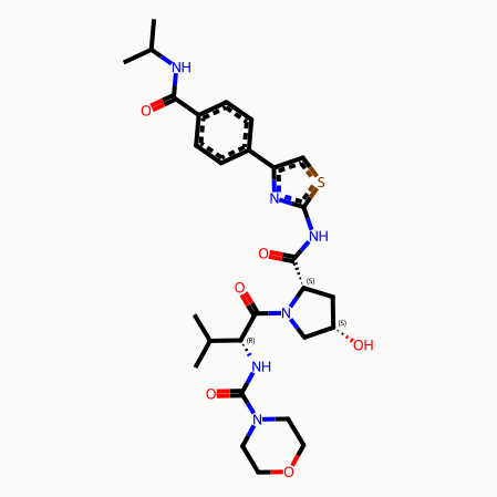 CC(C)NC(=O)c1ccc(-c2csc(NC(=O)[C@@H]3C[C@H](O)CN3C(=O)[C@H](NC(=O)N3CCOCC3)C(C)C)n2)cc1